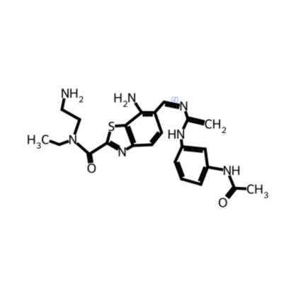 C=C(/N=C\c1ccc2nc(C(=O)N(CC)CCN)sc2c1N)Nc1cccc(NC(C)=O)c1